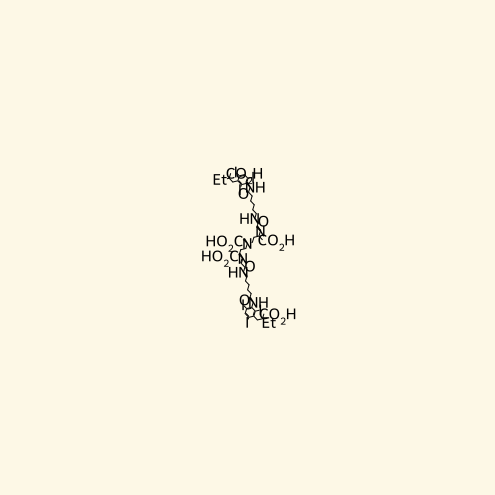 CCC(Cc1c(I)cc(I)c(NC(=O)CCCCCNC(=O)C=NC(CCN(CCC(N=CC(=O)NCCCCCC(=O)Nc2c(I)cc(I)c(CC(CC)C(=O)O)c2I)C(=O)O)CC(=O)O)C(=O)O)c1I)C(=O)O